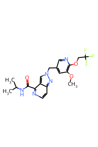 COc1cc(Cn2cc3c(C(=O)NC(C)C)nccc3n2)cnc1OCC(F)(F)F